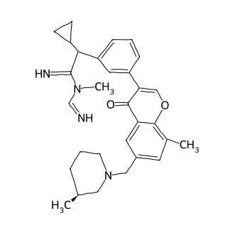 Cc1cc(CN2CCC[C@H](C)C2)cc2c(=O)c(-c3cccc(C(C(=N)N(C)C=N)C4CC4)c3)coc12